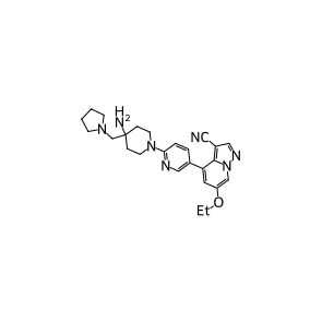 CCOc1cc(-c2ccc(N3CCC(N)(CN4CCCC4)CC3)nc2)c2c(C#N)cnn2c1